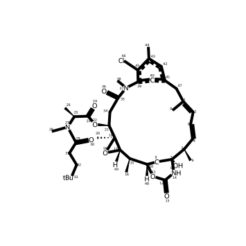 C/C1=C\C=C\[C@@H](C)[C@@]2(O)C[C@H](OC(=O)N2)[C@@H](C)[C@@H]2O[C@@]2(C)[C@@H](OC(=O)[C@H](C)N(C)C(=O)CCC(C)(C)C)CC(=O)N(C)c2cc(cc(C)c2Cl)C1